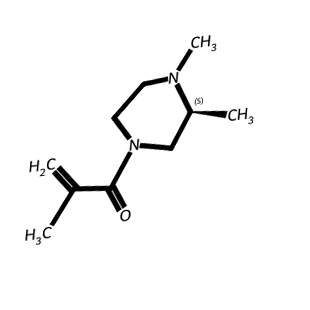 C=C(C)C(=O)N1CCN(C)[C@@H](C)C1